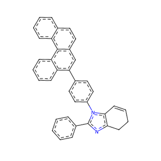 C1=Cc2c(nc(-c3ccccc3)n2-c2ccc(-c3cc4ccc5ccccc5c4c4ccccc34)cc2)CC1